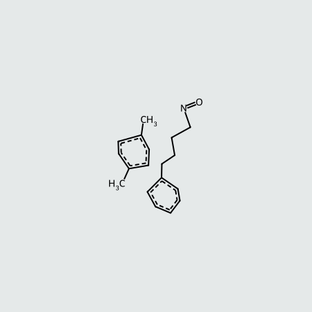 Cc1ccc(C)cc1.O=NCCCCc1ccccc1